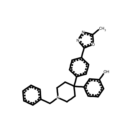 Cc1nnc(-c2ccc(C3(c4cccc(O)c4)CCN(Cc4ccccc4)CC3)cc2)o1